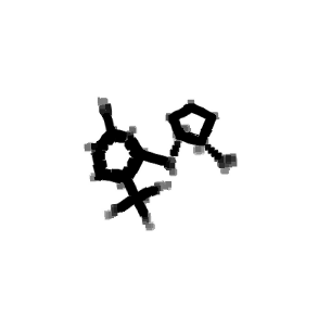 O[C@H]1CCC[C@H]1Oc1nc(Cl)ncc1C(F)(F)F